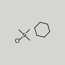 C1CCCCC1.C[Si](C)(C)Cl